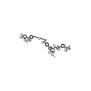 CN(CCCOCCCc1ccc2c(c1)n(C)c(=O)n2C1CCC(=O)NC1=O)C(=O)c1ccc(-n2cc(NC(=O)c3coc(-c4ccnc(NCC(F)(F)F)c4)n3)c(C(N)=O)n2)cc1